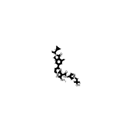 Cc1cc(-c2ccn3nc(N)c(C(=O)Nc4cnn(CC(C)(C)O)c4)c3n2)cc2c1C(=O)N(C(C)C1CC1)C2